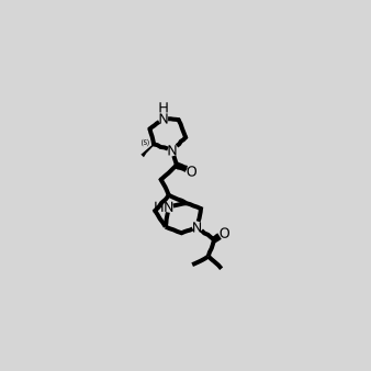 CC(C)C(=O)N1CC2CC(CC(=O)N3CCNC[C@@H]3C)C(C1)N2